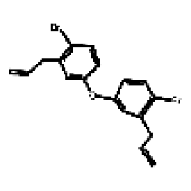 C=CCc1cc(Oc2ccc(Br)c(CC=C)c2)ccc1Br